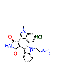 Cl.Cn1cc(C2=C(c3cn(CCN)c4ccccc34)C(=O)NC2=O)c2ccccc21